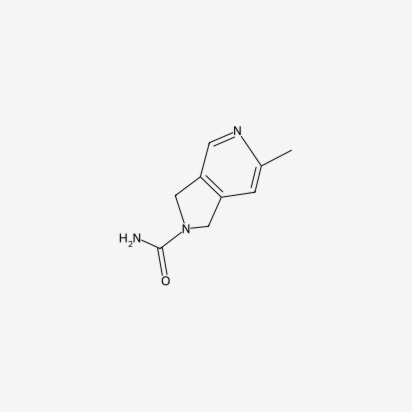 Cc1cc2c(cn1)CN(C(N)=O)C2